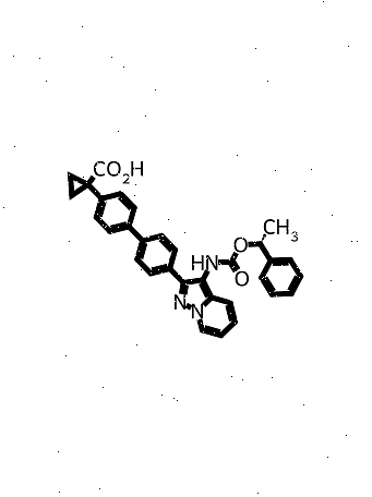 C[C@@H](OC(=O)Nc1c(-c2ccc(-c3ccc(C4(C(=O)O)CC4)cc3)cc2)nn2ccccc12)c1ccccc1